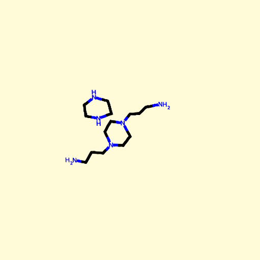 C1CNCCN1.NCCCN1CCN(CCCN)CC1